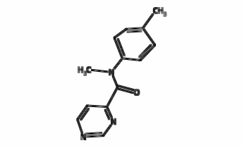 Cc1ccc(N(C)C(=O)c2ccncn2)cc1